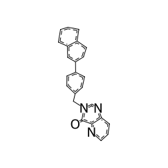 O=c1c2ncccc2ncn1Cc1ccc(-c2ccc3ccccc3c2)cc1